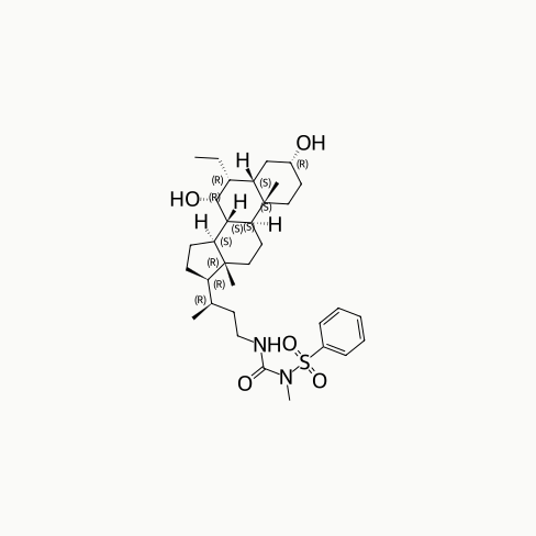 CC[C@H]1[C@@H](O)[C@@H]2[C@H](CC[C@]3(C)[C@@H]([C@H](C)CCNC(=O)N(C)S(=O)(=O)c4ccccc4)CC[C@@H]23)[C@@]2(C)CC[C@@H](O)C[C@@H]12